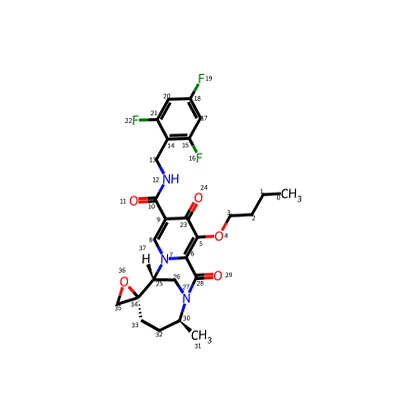 CCCCOc1c2n(cc(C(=O)NCc3c(F)cc(F)cc3F)c1=O)[C@@H]1CN(C2=O)[C@@H](C)CC[C@@]12CO2